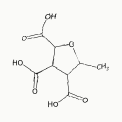 CC1OC(C(=O)O)C(C(=O)O)C1C(=O)O